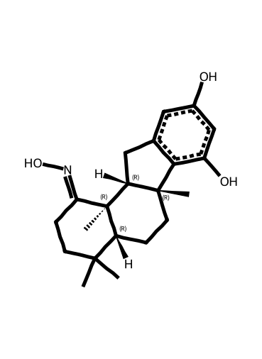 CC1(C)CCC(=NO)[C@]2(C)[C@@H]1CC[C@@]1(C)c3c(O)cc(O)cc3C[C@@H]21